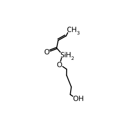 CC=CC(=O)[SiH2]OCCCCO